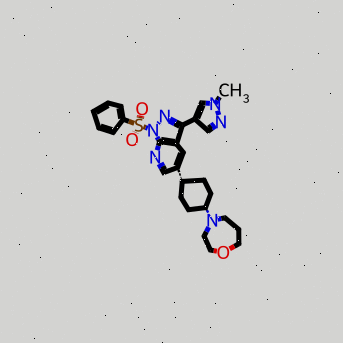 Cn1cc(-c2nn(S(=O)(=O)c3ccccc3)c3ncc([C@H]4CC[C@@H](N5CCCOCC5)CC4)cc23)cn1